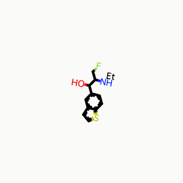 CCNC(CF)C(O)c1ccc2sccc2c1